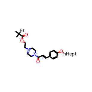 CCCCCCCOc1ccc(/C=C/C(=O)N2CCN(CCOC(=O)C(C)(C)CC)CC2)cc1